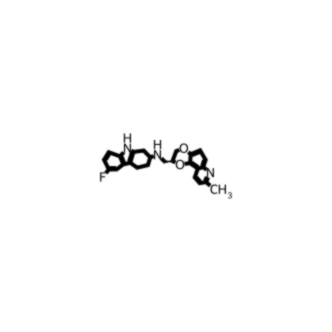 Cc1ccc2c3c(ccc2n1)OC[C@H](CNC1CCc2c([nH]c4ccc(F)cc24)C1)O3